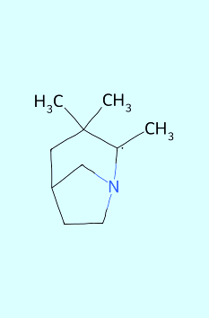 C[C]1N2CCC(C2)CC1(C)C